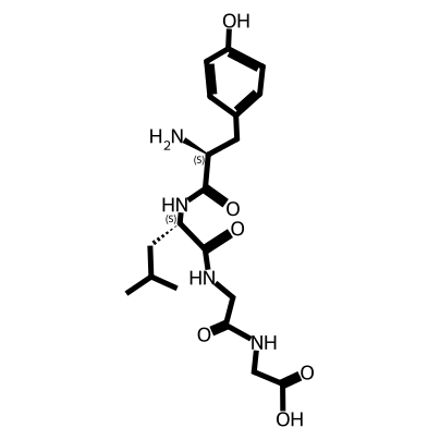 CC(C)C[C@H](NC(=O)[C@@H](N)Cc1ccc(O)cc1)C(=O)NCC(=O)NCC(=O)O